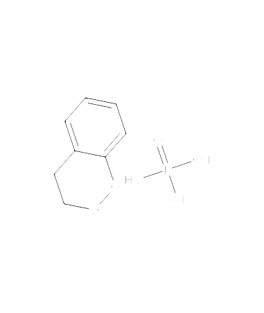 O=P(O)(O)O.c1ccc2c(c1)CCOO2